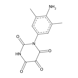 Cc1cc(N2C(=O)NC(=O)C(=O)C2=O)cc(C)c1N